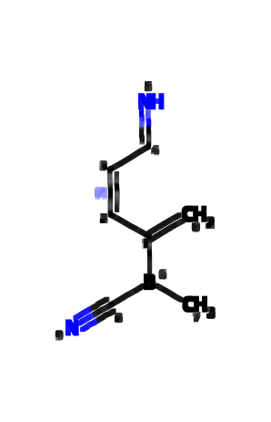 C=C(/C=C\C=N)B(C)C#N